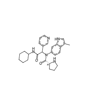 Cc1c[nH]c2cc(N(C(=O)[C@H]3CCCN3)C(C(=O)NC3CCCCC3)c3cccnc3)ccc12